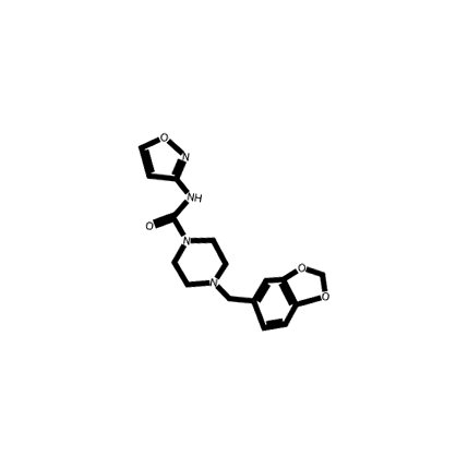 O=C(Nc1ccon1)N1CCN(Cc2ccc3c(c2)OCO3)CC1